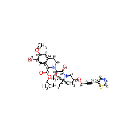 CCOC(=O)C1c2cc(Br)c(OC)cc2CCN1C(=O)C(=O)N(CCOCC#Cc1cncs1)C(C)(C)C